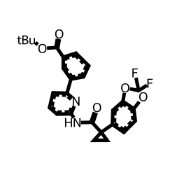 CC(C)(C)OC(=O)c1cccc(-c2cccc(NC(=O)C3(c4ccc5c(c4)OC(F)(F)O5)CC3)n2)c1